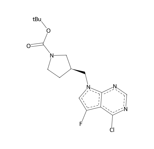 CC(C)(C)OC(=O)N1CC[C@H](Cn2cc(F)c3c(Cl)ncnc32)C1